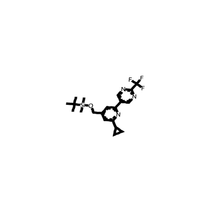 CC(C)(C)[Si](C)(C)OCc1cc(-c2cnc(C(F)(F)F)nc2)nc(C2CC2)c1